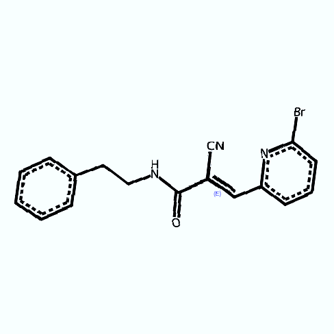 N#C/C(=C\c1cccc(Br)n1)C(=O)NCCc1ccccc1